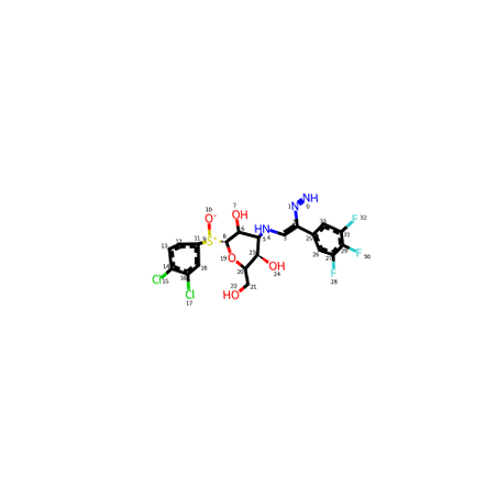 N=N/C(=C\NC1C(O)[C@@H]([S+]([O-])c2ccc(Cl)c(Cl)c2)OC(CO)[C@@H]1O)c1cc(F)c(F)c(F)c1